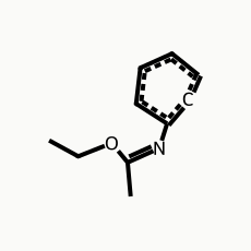 CCOC(C)=Nc1ccccc1